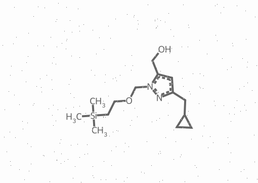 C[Si](C)(C)CCOCn1nc(CC2CC2)cc1CO